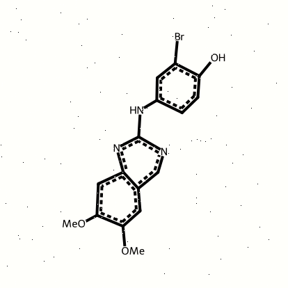 COc1cc2cnc(Nc3ccc(O)c(Br)c3)nc2cc1OC